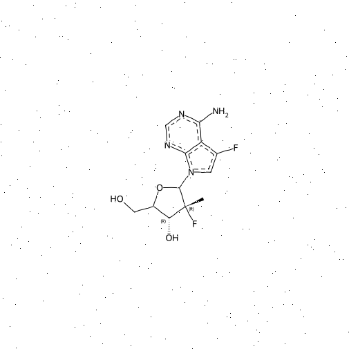 C[C@]1(F)C(n2cc(F)c3c(N)ncnc32)OC(CO)[C@H]1O